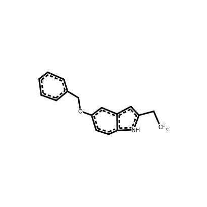 FC(F)(F)Cc1cc2cc(OCc3ccccc3)ccc2[nH]1